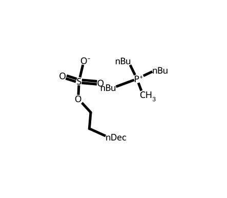 CCCCCCCCCCCCOS(=O)(=O)[O-].CCCC[P+](C)(CCCC)CCCC